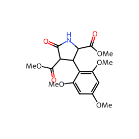 COC(=O)C1NC(=O)C(C(=O)OC)C1c1c(OC)cc(OC)cc1OC